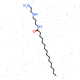 CCCCCCCCCCCCCCCC(=O)NCCCNCCN